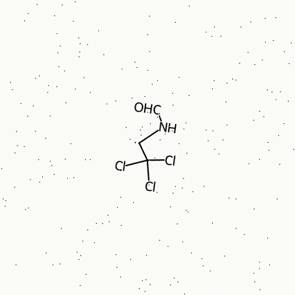 O=CN[CH]C(Cl)(Cl)Cl